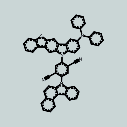 N#Cc1cc(-n2c3ccccc3c3c4ccccc4ccc32)c(C#N)cc1-n1c2ccc(N(c3ccccc3)c3ccccc3)cc2c2cc3sc4ccccc4c3cc21